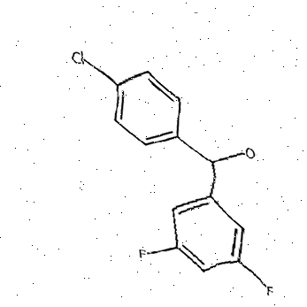 [O]C(c1ccc(Cl)cc1)c1cc(F)cc(F)c1